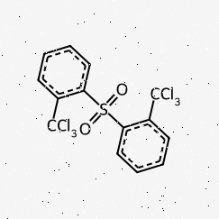 O=S(=O)(c1ccccc1C(Cl)(Cl)Cl)c1ccccc1C(Cl)(Cl)Cl